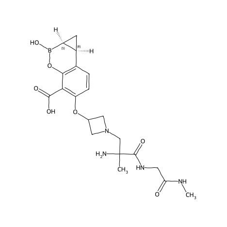 CNC(=O)CNC(=O)C(C)(N)CN1CC(Oc2ccc3c(c2C(=O)O)OB(O)[C@H]2C[C@@H]32)C1